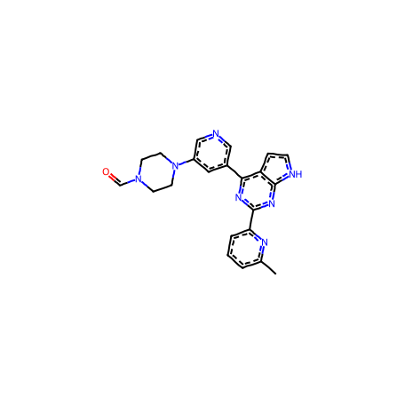 Cc1cccc(-c2nc(-c3cncc(N4CCN(C=O)CC4)c3)c3cc[nH]c3n2)n1